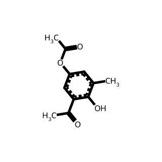 CC(=O)Oc1cc(C)c(O)c(C(C)=O)c1